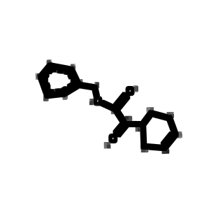 O=C(OCc1ccccc1)C(=O)C1CC=CCC1